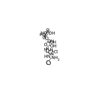 N[C@@H](Nc1nc(Cl)nc2c1cnn2[C@@H]1O[C@H](COP(=O)(O)CP(=O)(O)O)C(O)(O)[C@H]1O)c1ccccc1